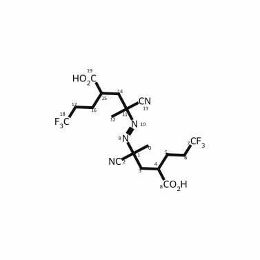 CC(C#N)(CC(CCC(F)(F)F)C(=O)O)N=NC(C)(C#N)CC(CCC(F)(F)F)C(=O)O